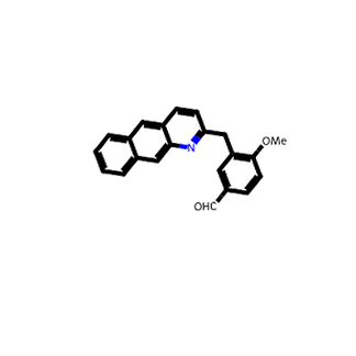 COc1ccc(C=O)cc1Cc1ccc2cc3ccccc3cc2n1